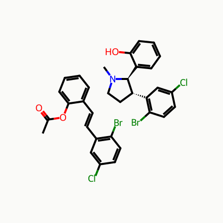 CC(=O)Oc1ccccc1C=Cc1cc(Cl)ccc1Br.CN1CC[C@@H](c2cc(Cl)ccc2Br)[C@@H]1c1ccccc1O